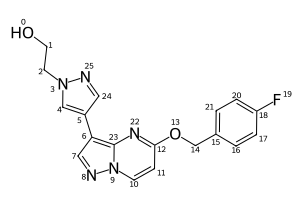 OCCn1cc(-c2cnn3ccc(OCc4ccc(F)cc4)nc23)cn1